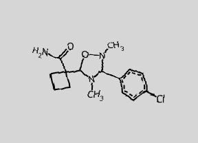 CN1OC(C2(C(N)=O)CCC2)N(C)C1c1ccc(Cl)cc1